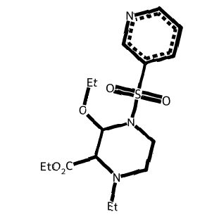 CCOC(=O)C1C(OCC)N(S(=O)(=O)c2cccnc2)CCN1CC